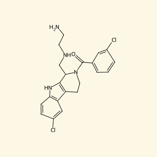 NCCNCC1c2[nH]c3ccc(Cl)cc3c2CCN1C(=O)c1cccc(Cl)c1